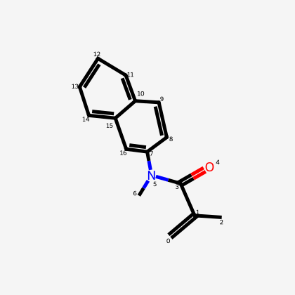 C=C(C)C(=O)N(C)c1ccc2ccccc2c1